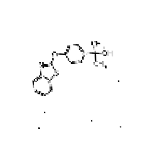 CC(C)(O)c1ccc(Oc2nc3ccccc3s2)cc1